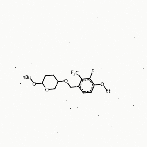 CCCCOC1CCC(OCc2ccc(OCC)c(F)c2C(F)(F)F)CO1